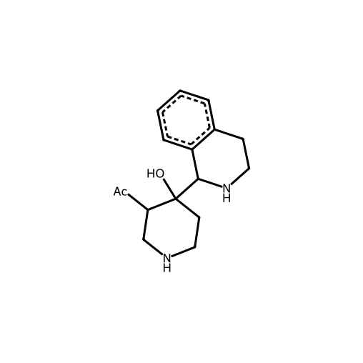 CC(=O)C1CNCCC1(O)C1NCCc2ccccc21